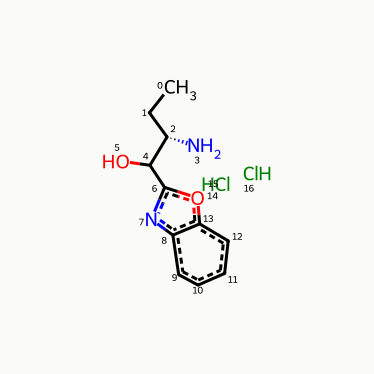 CC[C@H](N)C(O)c1nc2ccccc2o1.Cl.Cl